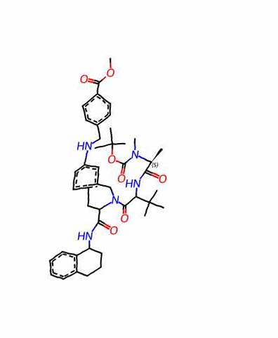 COC(=O)c1ccc(CNc2ccc3c(c2)CN(C(=O)C(NC(=O)[C@H](C)N(C)C(=O)OC(C)(C)C)C(C)(C)C)C(C(=O)NC2CCCc4ccccc42)C3)cc1